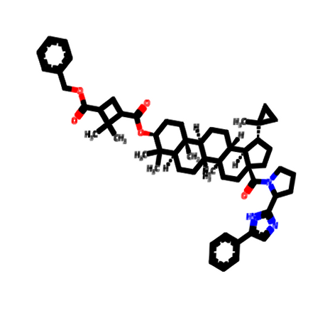 CC1(C)C(C(=O)OCc2ccccc2)CC1C(=O)O[C@H]1CC[C@]2(C)[C@H]3CC[C@@H]4[C@H]5[C@H](C6(C)CC6)CC[C@]5(C(=O)N5CCCC5c5ncc(-c6ccccc6)[nH]5)CC[C@@]4(C)[C@]3(C)CC[C@H]2C1(C)C